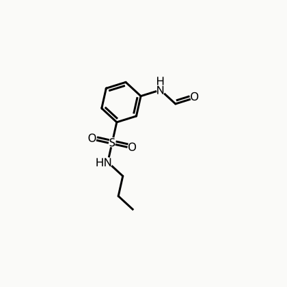 CCCNS(=O)(=O)c1cccc(NC=O)c1